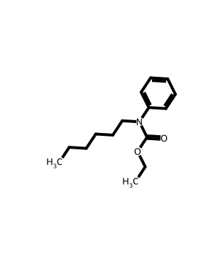 CCCCCCN(C(=O)OCC)c1ccccc1